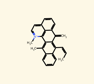 C=c1c2cccc3cc[n+](C)c(c4c(C)c5ccccc5c(/C=C\C)c14)c32